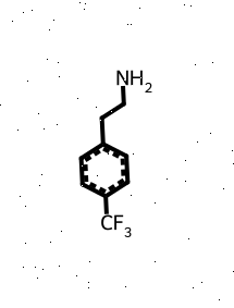 NCCc1ccc(C(F)(F)F)cc1